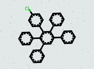 Clc1ccc(-c2c(-c3ccccc3)c(-c3ccccc3)cc(-c3ccccc3)c2-c2ccccc2)cc1